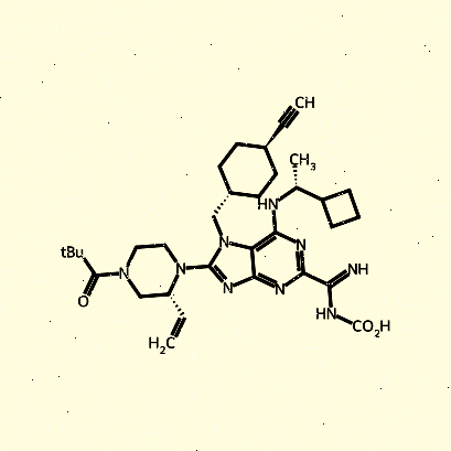 C#C[C@H]1CC[C@H](Cn2c(N3CCN(C(=O)C(C)(C)C)C[C@H]3C=C)nc3nc(C(=N)NC(=O)O)nc(N[C@H](C)C4CCC4)c32)CC1